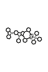 c1ccc(-n2c3cc(-n4c5ccccc5c5ccccc54)ccc3c3cc4cc(c5ccccc5c5nc([Si](c6ccccc6)(c6ccccc6)c6ccccc6)nc(n5)c5ccccc45)c32)cc1